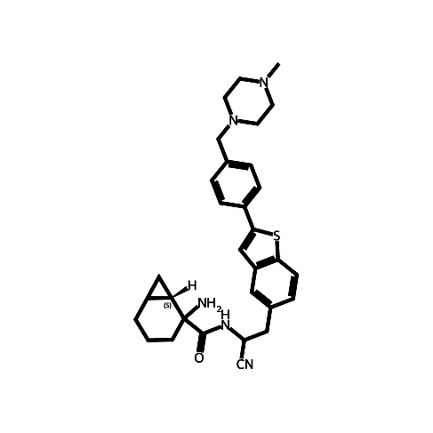 CN1CCN(Cc2ccc(-c3cc4cc(CC(C#N)NC(=O)C5(N)CCCC6C[C@@H]65)ccc4s3)cc2)CC1